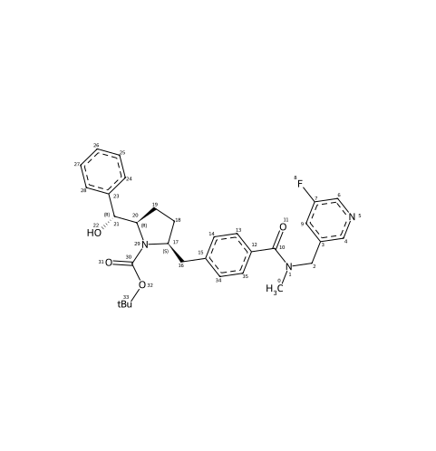 CN(Cc1cncc(F)c1)C(=O)c1ccc(C[C@@H]2CC[C@H]([C@H](O)c3ccccc3)N2C(=O)OC(C)(C)C)cc1